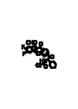 C[CH]C(=O)N[C@H](C(=O)N1CCN(C(=O)c2c(C=O)c3cc(F)c(F)cc3n2C)CC1)C1CCCCC1